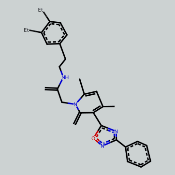 C=C(CN1C(=C)C(c2nc(-c3ccccc3)no2)=C(C)C=C1C)NCCc1ccc(CC)c(CC)c1